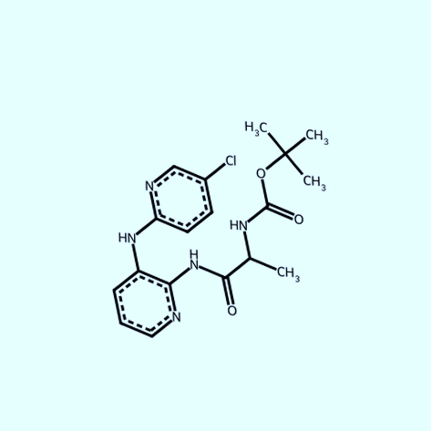 CC(NC(=O)OC(C)(C)C)C(=O)Nc1ncccc1Nc1ccc(Cl)cn1